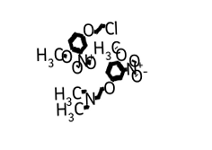 CCN(CC)CCOc1ccc(OC)c([N+](=O)[O-])c1.COc1ccc(OCCCl)cc1[N+](=O)[O-]